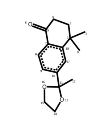 CC1(C)CCC(=O)c2ccc(C3(C)OCCO3)cc21